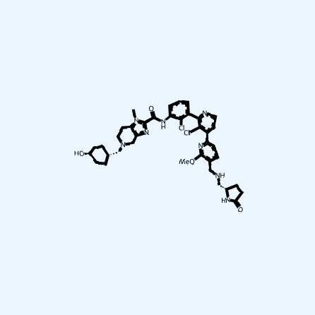 COc1nc(-c2ccnc(-c3cccc(NC(=O)c4nc5c(n4C)CCN(C[C@H]4CC[C@H](O)CC4)C5)c3Cl)c2Cl)ccc1CNC[C@@H]1CCC(=O)N1